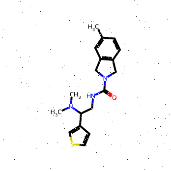 Cc1ccc2c(c1)CN(C(=O)NCC(c1ccsc1)N(C)C)C2